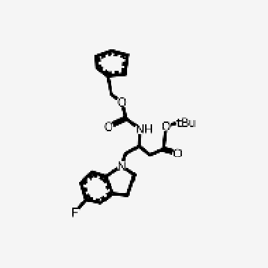 CC(C)(C)OC(=O)CC(CN1CCc2cc(F)ccc21)NC(=O)OCc1ccccc1